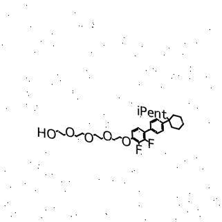 CCCC(C)C1(c2ccc(-c3ccc(OCCOCCOCCOCCO)c(F)c3F)cc2)CCCCC1